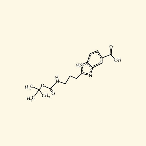 CC(C)(C)OC(=O)NCCCc1nc2cc(C(=O)O)ccc2[nH]1